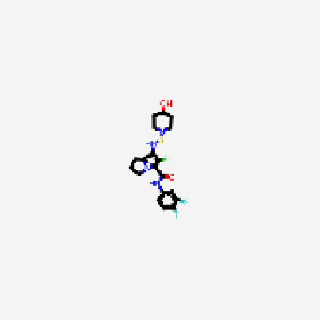 O=C(Nc1ccc(F)c(F)c1)c1c(Cl)c(NSN2CCC(O)CC2)c2n1CCC2